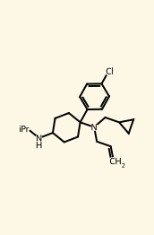 C=CCN(CC1CC1)C1(c2ccc(Cl)cc2)CCC(NC(C)C)CC1